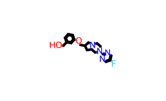 OCc1cccc(OCC2CC3CN(c4ncc(F)cn4)CCN3C2)c1